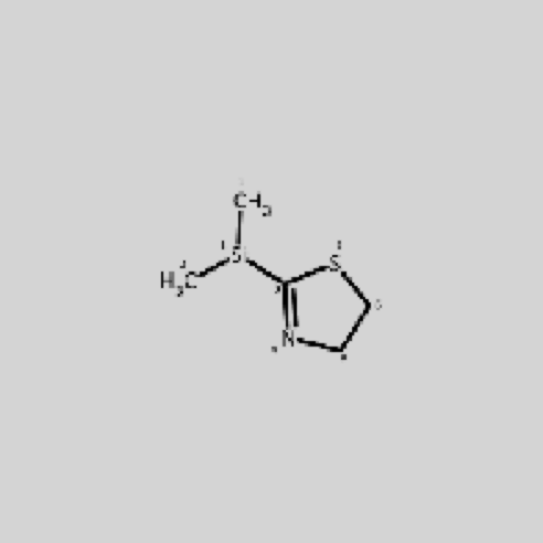 C[Si](C)C1=NCCS1